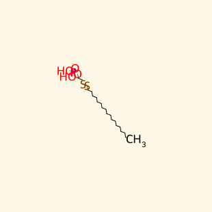 CCCCCCCCCCCCCCCCCCSSCCOP(=O)(O)O